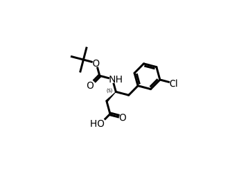 CC(C)(C)OC(=O)N[C@H](CC(=O)O)Cc1cccc(Cl)c1